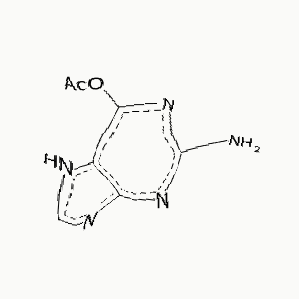 CC(=O)Oc1nc(N)nc2nc[nH]c12